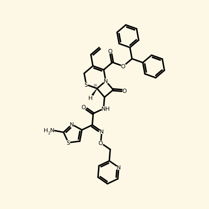 C=CC1=C(C(=O)OC(c2ccccc2)c2ccccc2)N2C(=O)C(NC(=O)C(=NOCc3ccccn3)c3csc(N)n3)[C@@H]2SC1